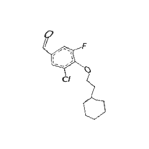 O=Cc1cc(F)c(OCCC2CCCCC2)c(Cl)c1